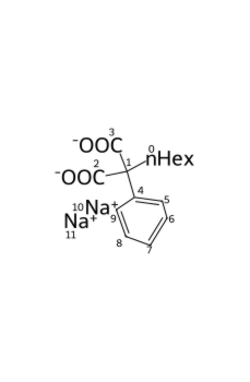 CCCCCCC(C(=O)[O-])(C(=O)[O-])c1ccccc1.[Na+].[Na+]